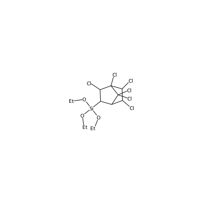 CCO[Si](OCC)(OCC)C1C2C(Cl)C(Cl)C(Cl)(C1Cl)C2(Cl)Cl